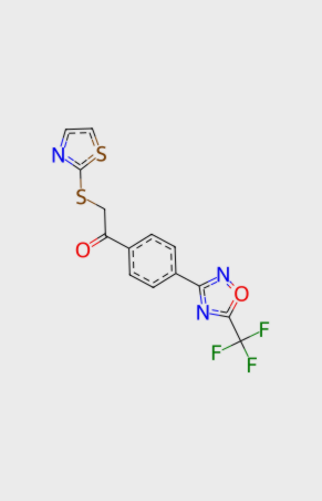 O=C(CSc1nccs1)c1ccc(-c2noc(C(F)(F)F)n2)cc1